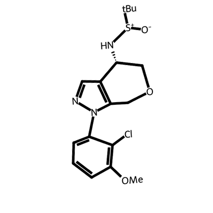 COc1cccc(-n2ncc3c2COC[C@H]3N[S+]([O-])C(C)(C)C)c1Cl